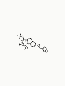 CO[C@H](O)[C@H]1c2ccc(OCc3ccoc3)cc2CCN1C(=O)OC(C)(C)C